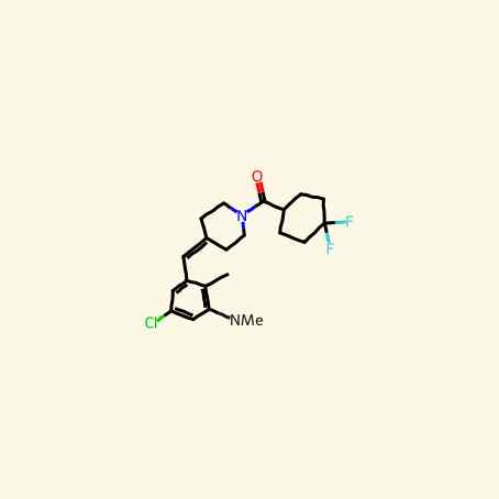 CNc1cc(Cl)cc(C=C2CCN(C(=O)C3CCC(F)(F)CC3)CC2)c1C